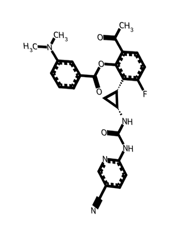 CC(=O)c1ccc(F)c([C@H]2C[C@H]2NC(=O)Nc2ccc(C#N)cn2)c1OC(=O)c1cccc(N(C)C)c1